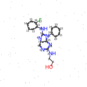 OCCNc1ncc2nc(Nc3ccccc3F)n(-c3ccccc3)c2n1